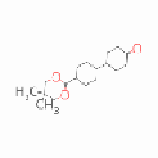 CC1(C)COC(C2CCC(C3CCC(=O)CC3)CC2)OC1